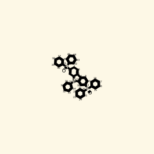 O=P(C1=CC2C(=CC1)c1ccc(P(=O)(c3ccccc3)c3ccccc3)cc1N2c1ccccc1)(c1ccccc1)c1ccccc1